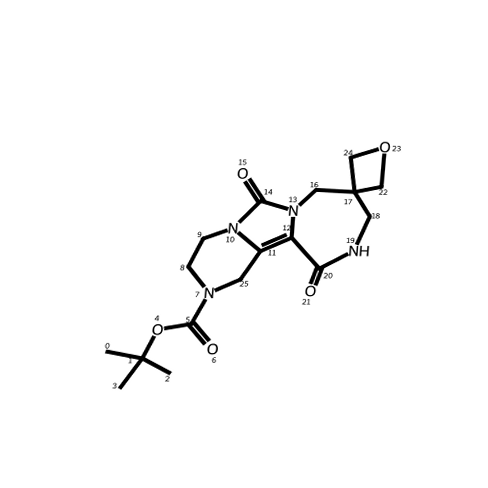 CC(C)(C)OC(=O)N1CCn2c(c3n(c2=O)CC2(CNC3=O)COC2)C1